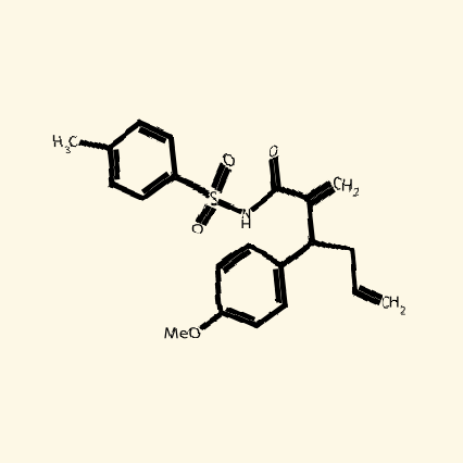 C=CCC(C(=C)C(=O)NS(=O)(=O)c1ccc(C)cc1)c1ccc(OC)cc1